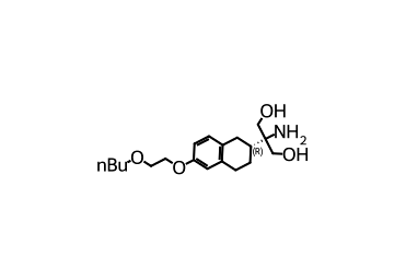 CCCCOCCOc1ccc2c(c1)CC[C@@H](C(N)(CO)CO)C2